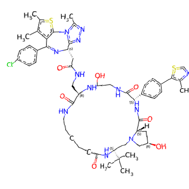 Cc1ncsc1-c1ccc([C@@H]2NC(=O)[C@@H]3C[C@@H](O)CN3C[C@H](C(C)(C)C)NC(=O)CCCCCNC(=O)[C@@H](CNC(=O)C[C@@H]3N=C(c4ccc(Cl)cc4)c4c(sc(C)c4C)-n4c(C)nnc43)NC(O)CNC2=O)cc1